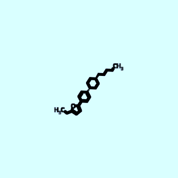 CCCCC[C@H]1CC[C@H](c2ccc(-c3ccc(CC)o3)cc2)CC1